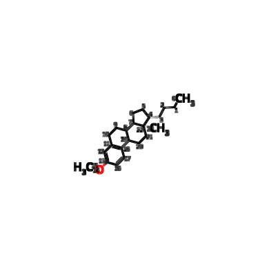 CCCC[C@H]1CCC2C3CCc4cc(OC)ccc4C3CC[C@@]21C